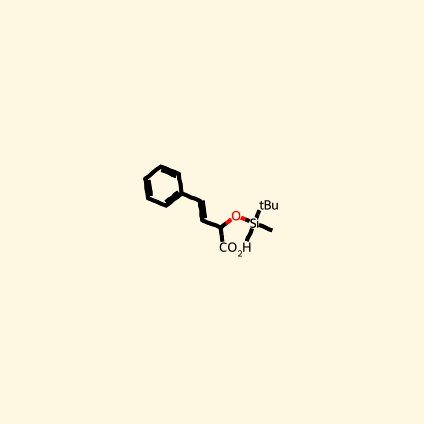 CC(C)(C)[Si](C)(C)OC(C=Cc1ccccc1)C(=O)O